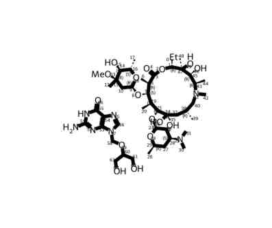 CC[C@H]1OC(=O)[C@H](C)[C@@H](O[C@H]2C[C@@](C)(OC)[C@@H](O)[C@H](C)O2)[C@H](C)[C@@H](O[C@@H]2O[C@H](C)C[C@H](N(C)C)[C@H]2O)[C@](C)(O)C[C@@H](C)CN(C)[C@H](C)[C@@H](O)[C@]1(C)O.Nc1nc2c(ncn2COC(CO)CO)c(=O)[nH]1